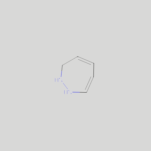 [C]1=CCNNC=C1